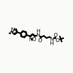 Cn1cc(-c2ccc(-c3cc(NC(=O)CCCNC(=O)OC(C)(C)C)on3)cc2)cn1